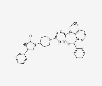 O=C(O[C@H]1N=C(c2ccccc2)c2ccccc2N(CC(F)(F)F)C1=O)N1CCC(n2cc(-c3ccccc3)[nH]c2=O)CC1